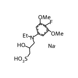 CCN(CC(O)CS(=O)(=O)O)c1cc(OC)c(F)c(OC)c1.[Na]